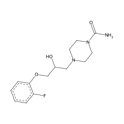 NC(=O)N1CCN(CC(O)COc2ccccc2F)CC1